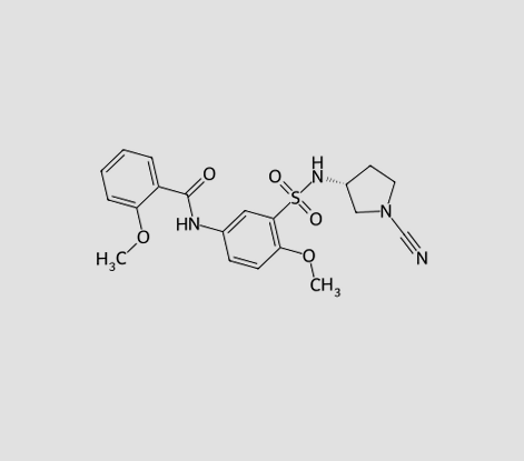 COc1ccccc1C(=O)Nc1ccc(OC)c(S(=O)(=O)N[C@@H]2CCN(C#N)C2)c1